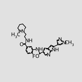 C[C@H]1CCCCN1CCNC(=O)c1ccc(F)c(NC(=O)c2cnc3[nH]c(-c4cnn(C)c4)cc3c2)c1